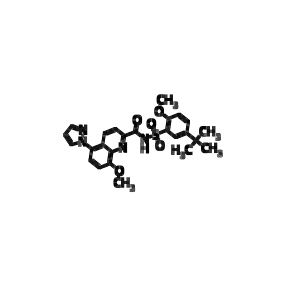 COc1ccc(C(C)(C)C)cc1S(=O)(=O)NC(=O)c1ccc2c(-n3cccn3)ccc(OC)c2n1